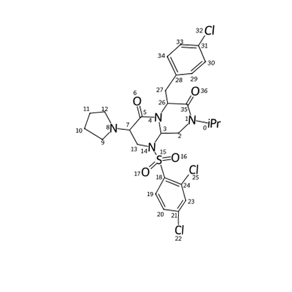 CC(C)N1CC2N(C(=O)C(N3CCCC3)CN2S(=O)(=O)c2ccc(Cl)cc2Cl)C(Cc2ccc(Cl)cc2)C1=O